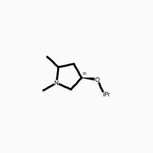 CC(C)O[C@@H]1CC(C)N(C)C1